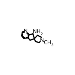 CN1CCC2(CC1)Cc1cccnc1[C@H]2N